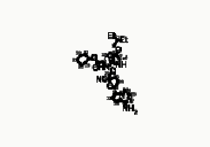 CCC(CC)COC(=O)[C@H](C)NP(=O)(N[C@@H](C)C(=O)OC1CCCCC1)OC[C@]1(C#N)CC[C@H](c2ccc3c(N)ncnn23)O1